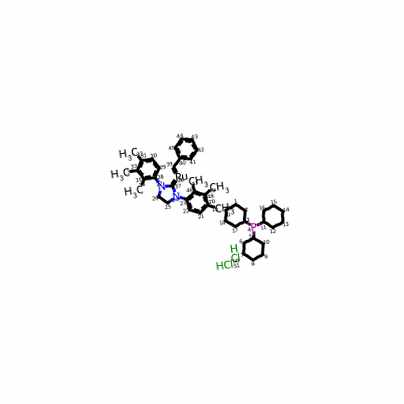 C1CCC(P(C2CCCCC2)C2CCCCC2)CC1.Cc1ccc(N2CCN(c3ccc(C)c(C)c3C)[C]2=[Ru]=[CH]c2ccccc2)c(C)c1C.Cl.Cl